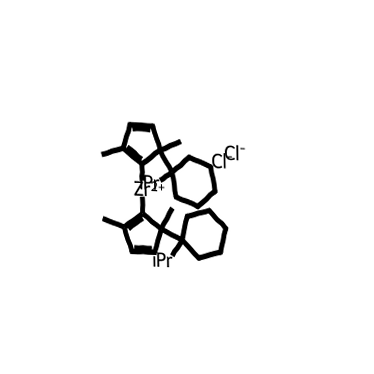 CC1=[C]([Zr+2][C]2=C(C)C=CC2(C)C2(C(C)C)CCCCC2)C(C)(C2(C(C)C)CCCCC2)C=C1.[Cl-].[Cl-]